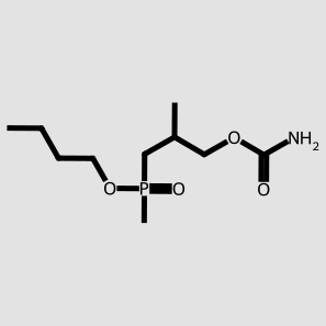 CCCCOP(C)(=O)CC(C)COC(N)=O